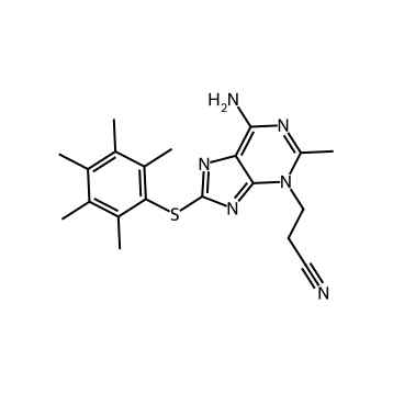 Cc1c(C)c(C)c(Sc2nc3c(N)nc(C)n(CCC#N)c-3n2)c(C)c1C